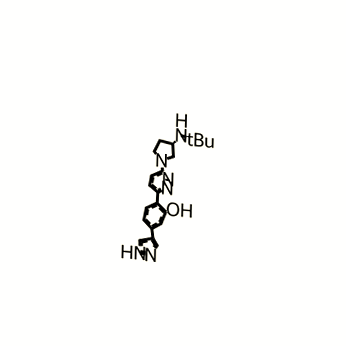 CC(C)(C)N[C@@H]1CCN(c2ccc(-c3ccc(-c4cn[nH]c4)cc3O)nn2)C1